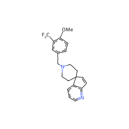 COc1ccc(CN2CCC3(C=Cc4ncccc43)CC2)cc1C(F)(F)F